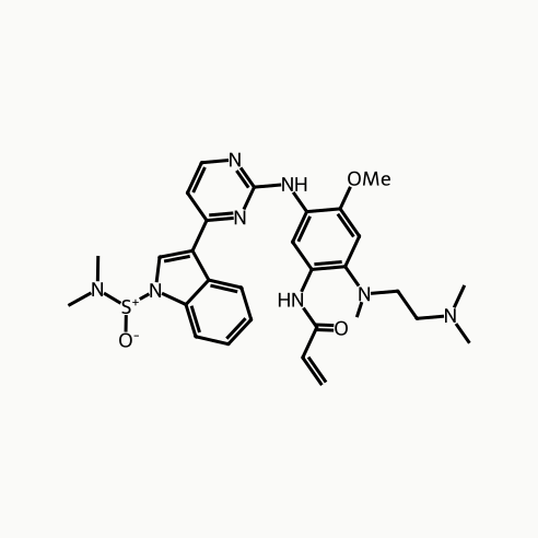 C=CC(=O)Nc1cc(Nc2nccc(-c3cn([S+]([O-])N(C)C)c4ccccc34)n2)c(OC)cc1N(C)CCN(C)C